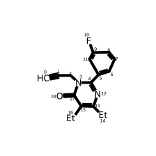 C#CCn1c(-c2cccc(F)c2)nc(CC)c(CC)c1=O